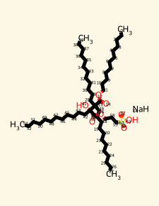 CCCCCCCCCCCCOC(=O)C(CCCCCCCCCCCC)(CCCCCCCCCCCC)C(O)(CCCCCCCCCCCC)C(=O)OCCCS(=O)(=O)O.[NaH]